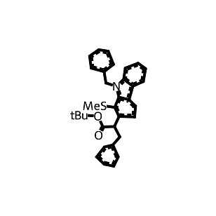 CSc1c(C(Cc2ccccc2)C(=O)OC(C)(C)C)ccc2c3ccccc3n(Cc3ccccc3)c12